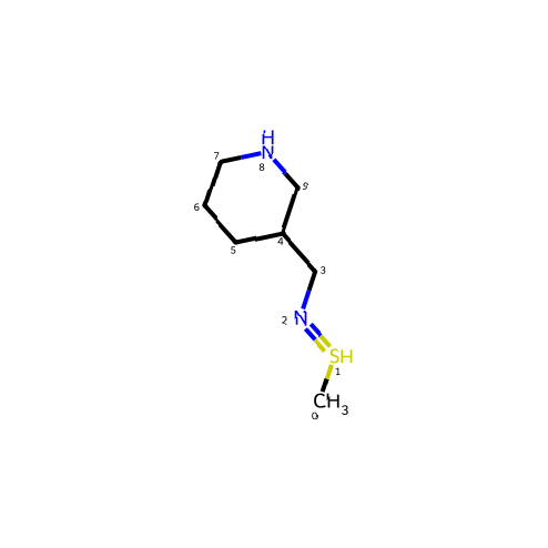 C/[SH]=N/CC1CCCNC1